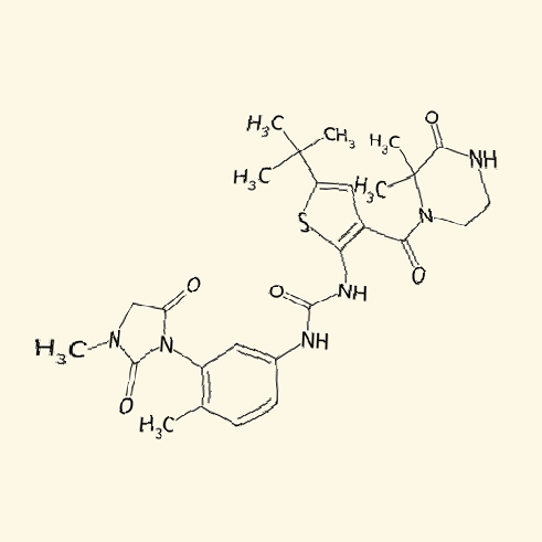 Cc1ccc(NC(=O)Nc2sc(C(C)(C)C)cc2C(=O)N2CCNC(=O)C2(C)C)cc1N1C(=O)CN(C)C1=O